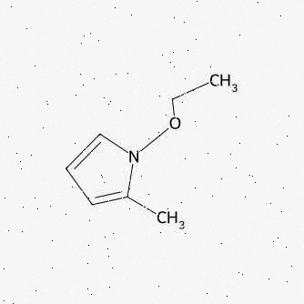 CCOn1cccc1C